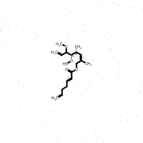 C=CCC/C=C/C(=O)OC/C(C)=C\[C@@H](C)[C@H](OS)C(C=C)OC